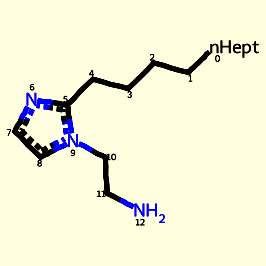 CCCCCCCCCCCc1nccn1CCN